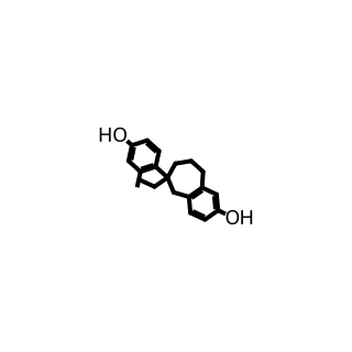 CCC1(c2ccc(O)cc2C)CCCc2cc(O)ccc2C1